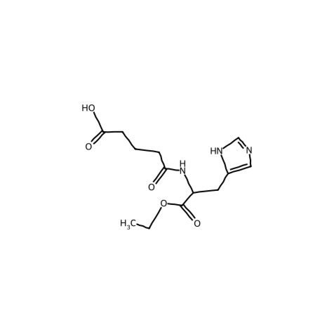 CCOC(=O)C(Cc1cnc[nH]1)NC(=O)CCCC(=O)O